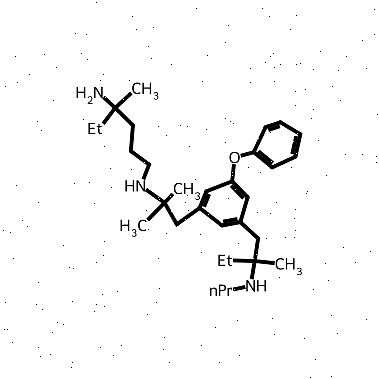 CCCNC(C)(CC)Cc1cc(CC(C)(C)NCCCC(C)(N)CC)cc(Oc2ccccc2)c1